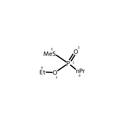 CCCP(=O)(OCC)SC